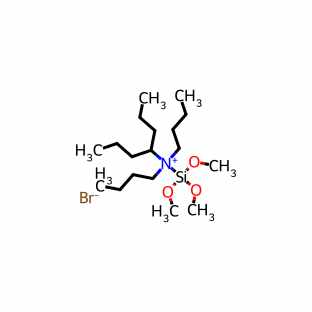 CCCC[N+](CCCC)(C(CCC)CCC)[Si](OC)(OC)OC.[Br-]